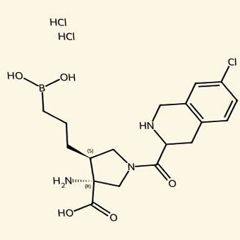 Cl.Cl.N[C@@]1(C(=O)O)CN(C(=O)C2Cc3ccc(Cl)cc3CN2)C[C@@H]1CCCB(O)O